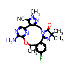 C[C@H]1Oc2nc(cnc2N)-c2c(nn(C)c2C#N)CN2C(=O)C(C)(C)N=C2c2ccc(F)cc21